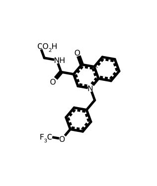 O=C(O)CNC(=O)c1cn(Cc2ccc(OC(F)(F)F)cc2)c2ccccc2c1=O